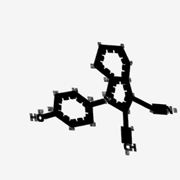 C#Cc1c(C#N)c2ccccc2n1-c1ccc(O)cc1